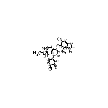 CC(C)(C)c1ccc(CN(CCc2ccc(Cl)c(Cl)c2)C(=O)c2c(F)c(Cl)cc3cc[nH]c23)cc1